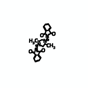 CC1CN(SN2C(=O)c3ccccc3C2=O)C(C)CN1SN1C(=O)c2ccccc2C1=O